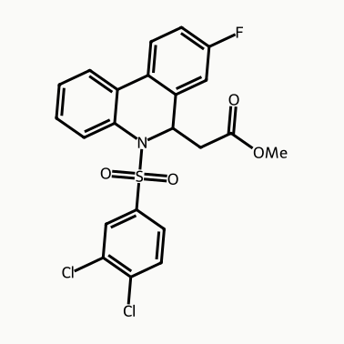 COC(=O)CC1c2cc(F)ccc2-c2ccccc2N1S(=O)(=O)c1ccc(Cl)c(Cl)c1